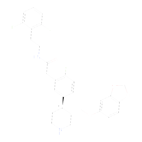 O=C(Cc1cc([C@@H]2CCNC[C@H]2COc2ccc3c(c2)OCO3)ccc1F)NCCc1c(F)cccc1F